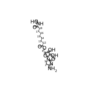 Nc1ccn([C@@H]2O[C@H](COC(=O)CCCCCCCC(=O)NO)[C@@H](O)[C@@H]2O)c(=O)n1